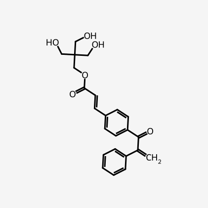 C=C(C(=O)c1ccc(C=CC(=O)OCC(CO)(CO)CO)cc1)c1ccccc1